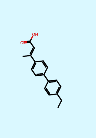 CCc1ccc(-c2ccc(/C(C)=C/C(=O)O)cc2)cc1